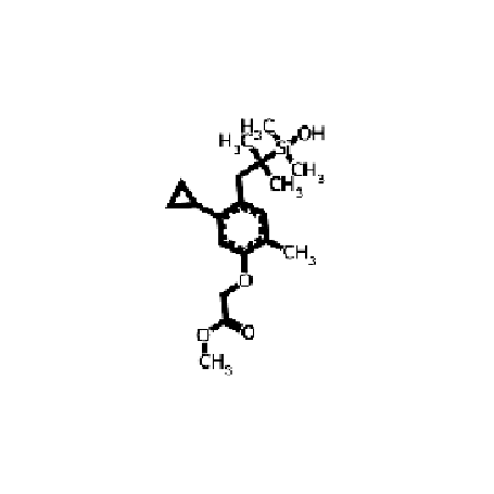 COC(=O)COc1cc(C2CC2)c(CC(C)(C)[Si](C)(C)O)cc1C